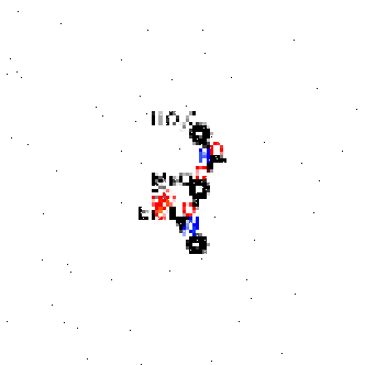 CCOP(=O)(C=Cc1cn(-c2ccccc2)nc1OCc1ccc(OCc2nc(-c3ccc(C(=O)O)cc3)oc2C)c(OC)c1)OCC